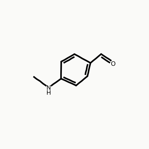 CNc1ccc(C=O)cc1